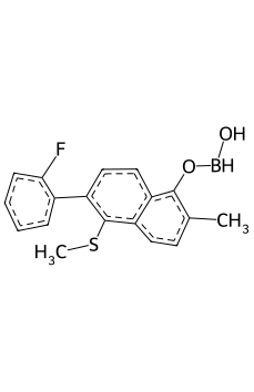 CSc1c(-c2ccccc2F)ccc2c(OBO)c(C)ccc12